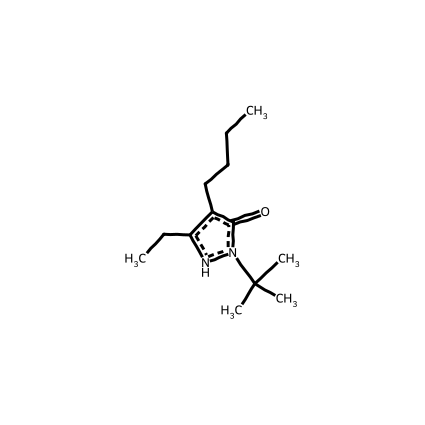 CCCCc1c(CC)[nH]n(C(C)(C)C)c1=O